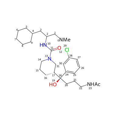 CNCC(CC1CCCCC1)NC(=O)N1CCC[C@@H]([C@@](O)(CCCNC(C)=O)c2cccc(Cl)c2)C1